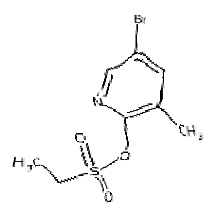 CCS(=O)(=O)Oc1ncc(Br)cc1C